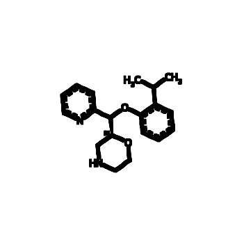 CC(C)c1ccccc1OC(c1ccccn1)[C@@H]1CNCCO1